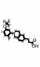 O=C(O)CCc1ccc2c(c1)CCN(c1cc(OC(F)(F)F)ccc1F)C2